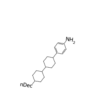 CCCCCCCCCCC1CCC(C2CCC(c3ccc(N)cc3)CC2)CC1